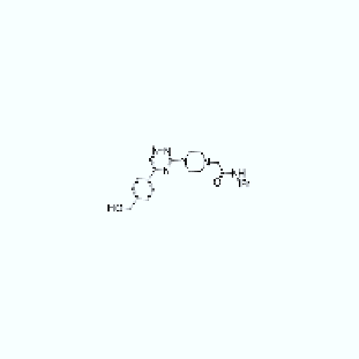 CC(C)NC(=O)CN1CCN(c2nncc(-c3ccc(CO)cc3)n2)CC1